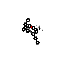 CC1(C)c2ccccc2-c2c(N(c3ccc(-c4ccc(-c5ccccc5)cc4)cc3)c3cccc4c3-c3ccccc3C43c4ccccc4-c4ccc(-c5ccccc5)cc43)cccc21